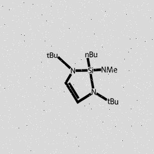 CCCC[Si]1(NC)N(C(C)(C)C)C=CN1C(C)(C)C